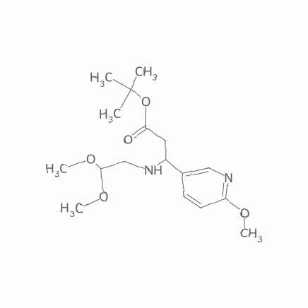 COc1ccc(C(CC(=O)OC(C)(C)C)NCC(OC)OC)cn1